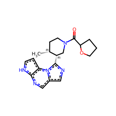 C[C@@H]1CCN(C(=O)C2CCCO2)C[C@@H]1c1ncc2cnc3[nH]ccc3n12